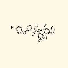 O=C(N[C@H](CN1CCC1)[C@@H](O)c1cc(F)c2c(c1)OCCO2)C(=O)c1cccc(Oc2ccc(F)cc2)c1